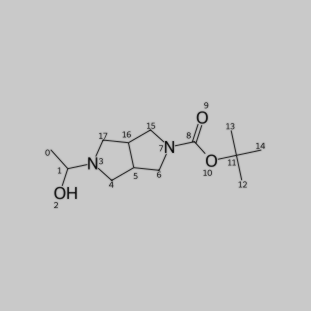 CC(O)N1CC2CN(C(=O)OC(C)(C)C)CC2C1